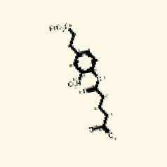 CCOC(=O)CCc1ccc(OC(=O)CCCC(=O)Cl)c([N+](=O)[O-])c1